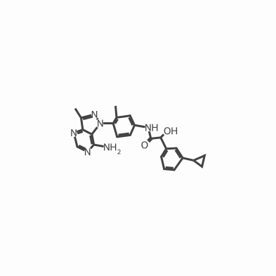 Cc1cc(NC(=O)C(O)c2cccc(C3CC3)c2)ccc1-n1nc(C)c2ncnc(N)c21